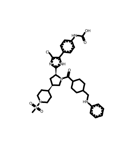 CS(=O)(=O)N1CCC([C@H]2C[C@@H](c3nc(Cl)c(-c4ccc(NC(=O)O)cc4)[nH]3)N(C(=O)C3CCC(CNc4ccccc4)CC3)C2)CC1